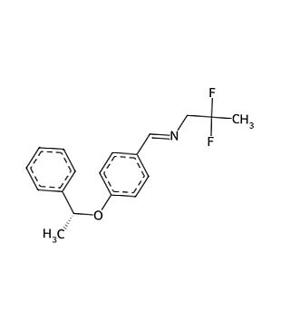 C[C@@H](Oc1ccc(/C=N/CC(C)(F)F)cc1)c1ccccc1